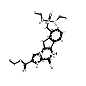 CCOC(=O)c1cn2c3c([nH]c(=O)c2n1)-c1cccc(CP(=O)(OCC)OCC)c1C3